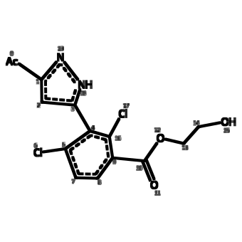 CC(=O)c1cc(-c2c(Cl)ccc(C(=O)OCCO)c2Cl)[nH]n1